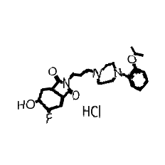 CC(C)Oc1ccccc1N1CCN(CCCN2C(=O)C3CC(O)C(F)CC3C2=O)CC1.Cl